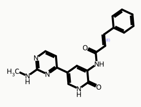 CNc1nccc(-c2c[nH]c(=O)c(NC(=O)/C=C/c3ccccc3)c2)n1